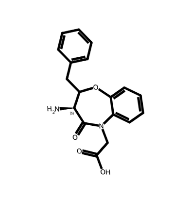 N[C@@H]1C(=O)N(CC(=O)O)c2ccccc2OC1Cc1ccccc1